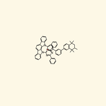 CC1CC(C)(C)c2ccc(-c3cccc(-c4ccc(-n5c6ccccc6c6ccc7c8ccccc8n(-c8nc(-c9ccccc9)nc(-c9ccccc9)n8)c7c65)cc4)c3)cc2C1(C)C